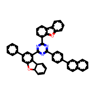 C1=CC2Oc3cc(-c4ccccc4)cc(-c4nc(-c5ccc(-c6ccc7ccccc7c6)cc5)nc(-c5cccc6c5oc5ccccc56)n4)c3C2C=C1